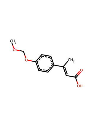 COCOc1ccc(/C(C)=C/C(=O)O)cc1